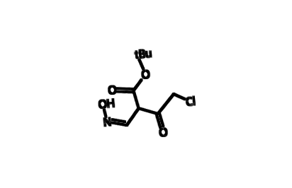 CC(C)(C)OC(=O)C(/C=N\O)C(=O)CCl